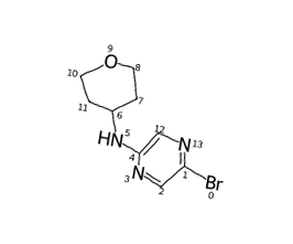 Brc1cnc(NC2CCOCC2)cn1